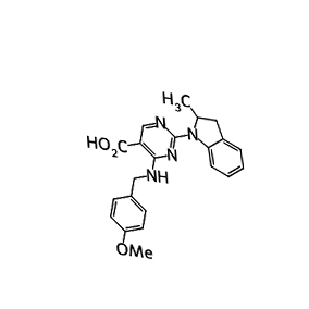 COc1ccc(CNc2nc(N3c4ccccc4CC3C)ncc2C(=O)O)cc1